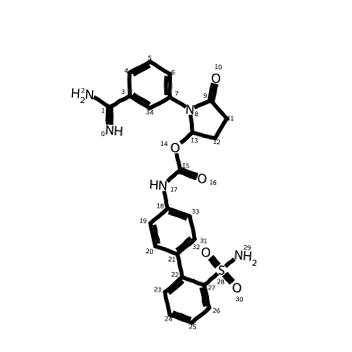 N=C(N)c1cccc(N2C(=O)CCC2OC(=O)Nc2ccc(-c3ccccc3S(N)(=O)=O)cc2)c1